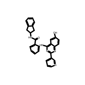 O=C(NC1Cc2ccccc2C1)c1ccccc1Nc1nc(-c2cccnc2)nc2ccc(O)cc12